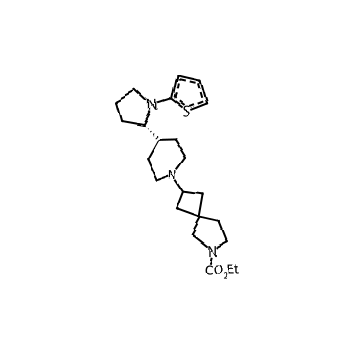 CCOC(=O)N1CCC2(CC(N3CCC([C@@H]4CCCN4c4cccs4)CC3)C2)C1